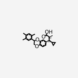 Cc1cc(C)c(C2COc3ccc([C@H](C4CC4)[C@H](C)C(=O)O)cc3O2)cc1C